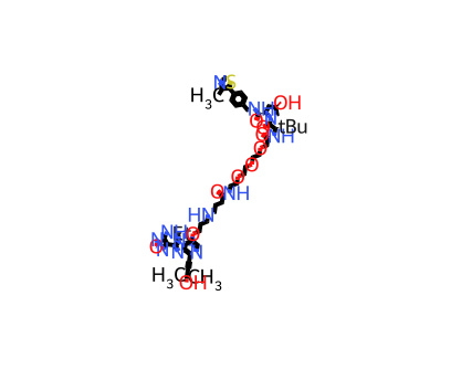 CCn1c(-c2nonc2N)nc2c(C#CC(C)(C)O)ncc(OCCCNCCCC(=O)NCCOCCOCCOCC(=O)N[C@H](C(=O)N3C[C@H](O)C[C@H]3C(=O)NCc3ccc(-c4scnc4C)cc3)C(C)(C)C)c21